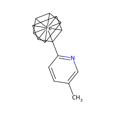 Cc1ccc([C]23[CH]4[CH]5[CH]6[CH]2[Fe]56432789[CH]3[CH]2[CH]7[CH]8[CH]39)nc1